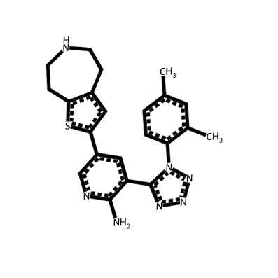 Cc1ccc(-n2nnnc2-c2cc(-c3cc4c(s3)CCNCC4)cnc2N)c(C)c1